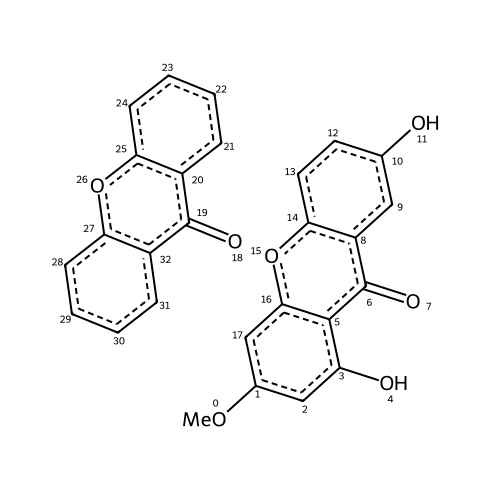 COc1cc(O)c2c(=O)c3cc(O)ccc3oc2c1.O=c1c2ccccc2oc2ccccc12